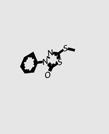 CSc1nn(-c2ccccc2)c(=O)s1